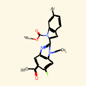 COC(=O)c1cc2nc(-c3cc4ccc(C(C)=O)cc4n3C(=O)OC(C)(C)C)n(C)c2cc1F